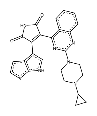 O=C1NC(=O)C(c2c[nH]c3sccc23)=C1c1nc(N2CCN(C3CC3)CC2)nc2ccccc12